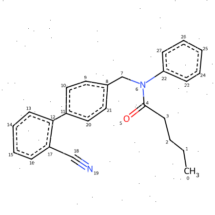 CCCCC(=O)N(Cc1ccc(-c2ccccc2C#N)cc1)c1ccccc1